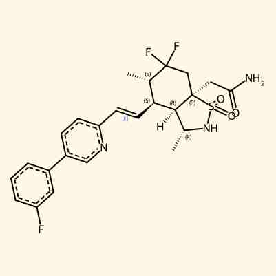 C[C@H]1NS(=O)(=O)[C@]2(CC(N)=O)CC(F)(F)[C@@H](C)[C@H](/C=C/c3ccc(-c4cccc(F)c4)cn3)[C@H]12